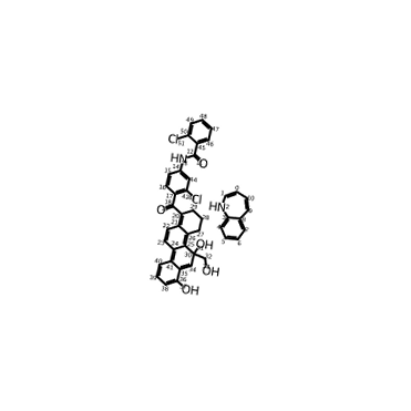 C1=CNc2ccccc2C=C1.O=C(Nc1ccc(C(=O)C2=c3ccc4c(c3CCC2)C(O)(CO)C=c2c(O)cccc2=4)c(Cl)c1)c1ccccc1Cl